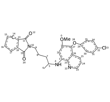 COc1cc(NC(C)CCCN2C(=O)c3ccccc3C2=O)c2ncccc2c1Oc1ccc(Cl)cc1